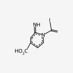 C=C(I)n1ccc(C(=O)O)cc1=N